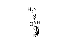 [N-]=[N+]=Nc1ccc(C(=O)NCCOCCCN)cn1